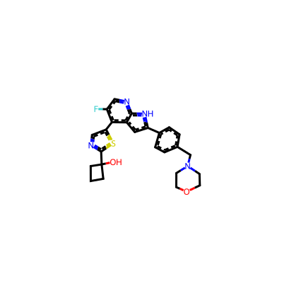 OC1(c2ncc(-c3c(F)cnc4[nH]c(-c5ccc(CN6CCOCC6)cc5)cc34)s2)CCC1